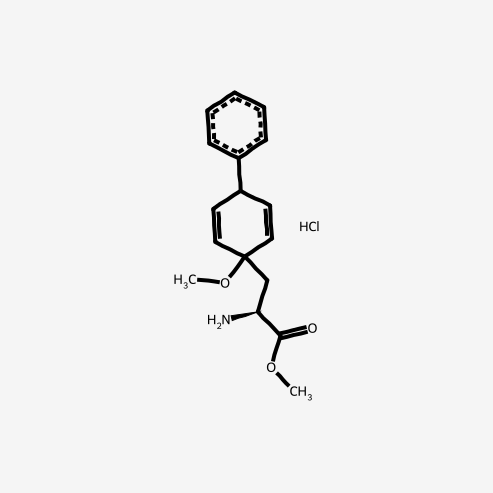 COC(=O)[C@@H](N)CC1(OC)C=CC(c2ccccc2)C=C1.Cl